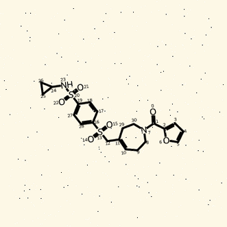 O=C(c1ccco1)N1CCC=C(CS(=O)(=O)c2ccc(S(=O)(=O)NC3CC3)cc2)CC1